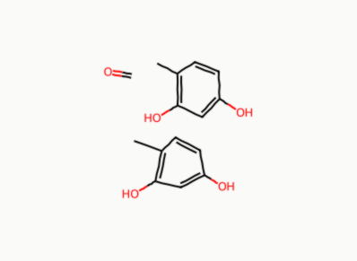 C=O.Cc1ccc(O)cc1O.Cc1ccc(O)cc1O